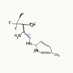 CC1=CNC(N/C=C(\N)C(O)C(F)(F)F)C=C1